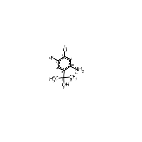 CC(O)(c1cc(F)c(Cl)cc1N)C(F)(F)F